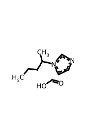 CCCC(C)n1ccnc1.O=CO